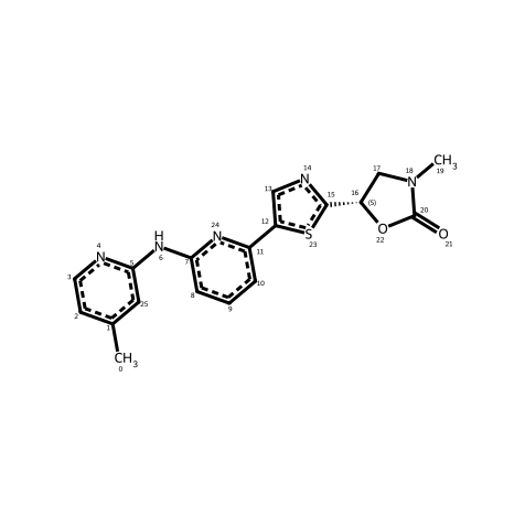 Cc1ccnc(Nc2cccc(-c3cnc([C@@H]4CN(C)C(=O)O4)s3)n2)c1